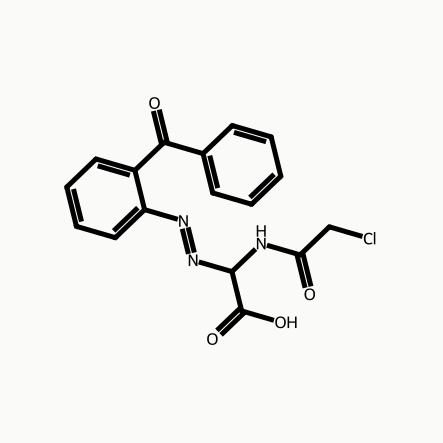 O=C(CCl)NC(N=Nc1ccccc1C(=O)c1ccccc1)C(=O)O